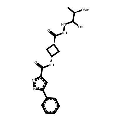 CO[C@H](C)C(O)NNC(=O)[C@H]1C[C@H](NC(=O)c2cc(-c3ccccc3)no2)C1